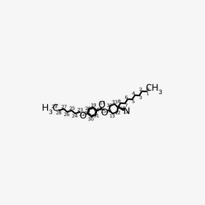 CCCCCCCCCC1(C#N)CCC(OC(=O)c2ccc(OCCCCCCC)cc2)CC1